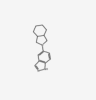 c1cc2[nH]ncc2cc1N1CC2CCCCC2C1